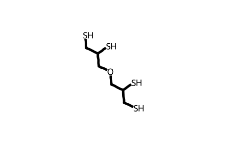 SCC(S)COCC(S)CS